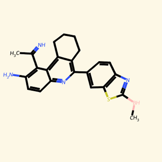 CBc1nc2ccc(-c3nc4ccc(N)c(C(C)=N)c4c4c3CCCC4)cc2s1